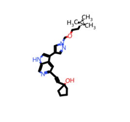 C[Si](C)(C)CCOCn1cc(-c2c[nH]c3cnc(C#CC4(O)CCCC4)cc23)cn1